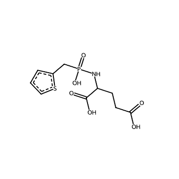 O=C(O)CCC(NP(=O)(O)Cc1cccs1)C(=O)O